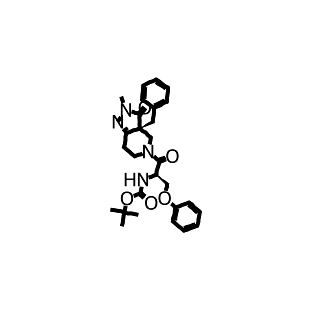 CN1N=C2CCN(C(=O)[C@@H](COc3ccccc3)NC(=O)OC(C)(C)C)C[C@@]2(Cc2ccccc2)C1=O